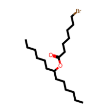 CCCCCCC(CCCCCC)OC(=O)CCCCCCBr